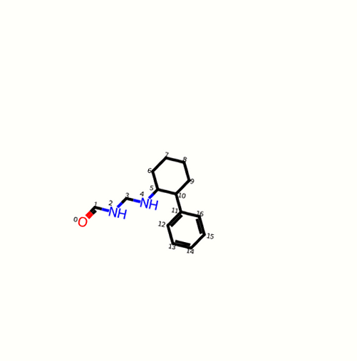 O=CNCNC1CCCCC1c1ccccc1